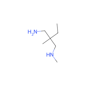 CCC(C)(CN)CNC